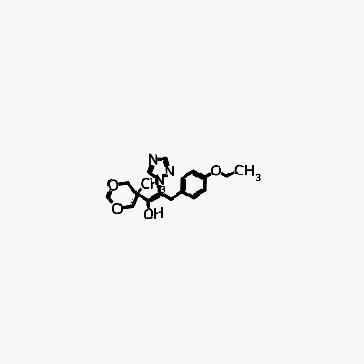 CCOc1ccc(C/C(=C(\O)C2(C)COCOC2)n2cncn2)cc1